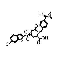 CN(C)C(=N)c1ccc(CN2C(=O)CN(S(=O)(=O)c3cc4ccc(Cl)cc4s3)C[C@@H]2C(=O)O)cc1